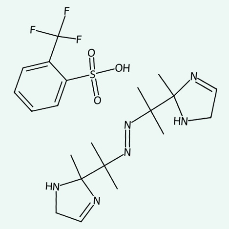 CC(C)(N=NC(C)(C)C1(C)N=CCN1)C1(C)N=CCN1.O=S(=O)(O)c1ccccc1C(F)(F)F